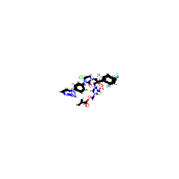 CC(C)C(=O)OCN1[C+]=NN(C[C@@](O)(c2ccc(F)cc2F)[C@@H](C)N2CCN(c3ccc(-n4ccnn4)cc3)C2=O)C1.[Cl-]